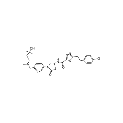 CN(CCC(C)(C)O)Cc1ccc(N2C[C@H](NC(=O)c3nnc(CCc4ccc(Cl)cc4)s3)CC2=O)cc1